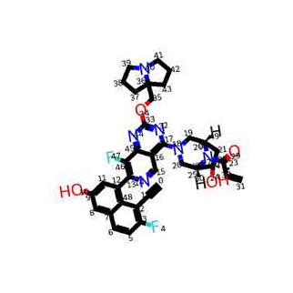 C#Cc1c(F)ccc2cc(O)cc(-c3ncc4c(N5C[C@@H]6C[C@@](C)(O)[C@H](C5)N6C(=O)C=C)nc(OCC56CCCN5CCC6)nc4c3F)c12